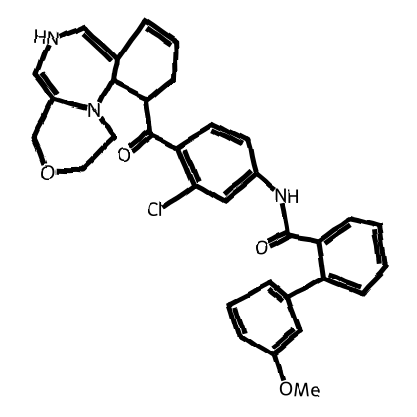 COc1cccc(-c2ccccc2C(=O)Nc2ccc(C(=O)C3CC=CC4=CNC=C5COCCN5C43)c(Cl)c2)c1